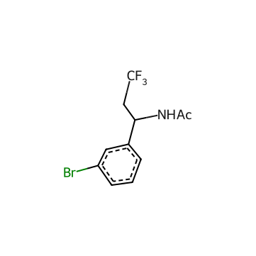 CC(=O)NC(CC(F)(F)F)c1cccc(Br)c1